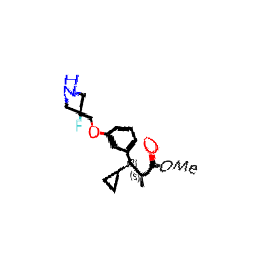 COC(=O)[C@@H](C)[C@H](c1cccc(OCC2(F)CNC2)c1)C1CC1